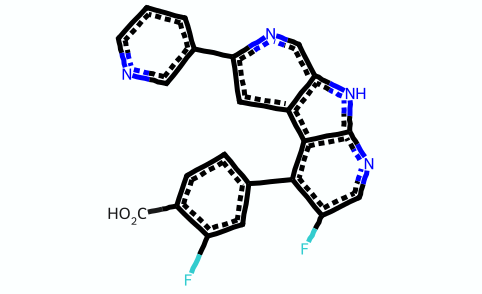 O=C(O)c1ccc(-c2c(F)cnc3[nH]c4cnc(-c5cccnc5)cc4c23)cc1F